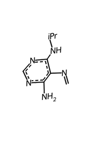 C=Nc1c(N)ncnc1NC(C)C